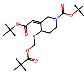 CC(C)(C)OC(=O)/C=C1/CN(C(=O)OC(C)(C)C)CCC1SCOC(=O)C(C)(C)C